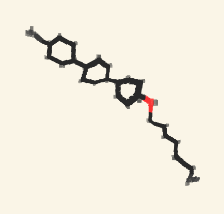 CCCC1CCC(C2CCC(c3ccc(OCCCCCCOC)cc3)CC2)CC1